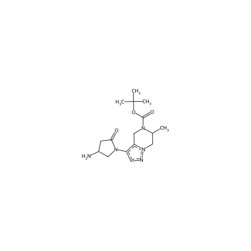 CC1Cn2ncc(N3CC(N)CC3=O)c2CN1C(=O)OC(C)(C)C